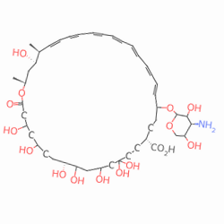 C[C@H]1C[C@H](O)[C@@H](C)/C=C/C=C/C=C/C=C/C=C/C=C/C=C/C(OC2OCC(O)[C@H](N)C2O)CC[C@H](C(=O)O)CCC(O)(O)CC(O)CC(O)[C@H](O)CCC(O)CC(O)CC(=O)O1